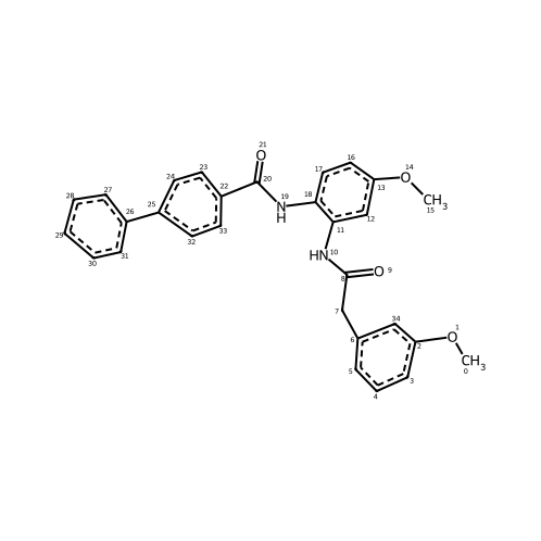 COc1cccc(CC(=O)Nc2cc(OC)ccc2NC(=O)c2ccc(-c3ccccc3)cc2)c1